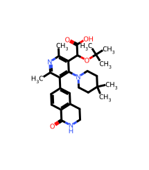 Cc1nc(C)c(C(OC(C)(C)C)C(=O)O)c(N2CCC(C)(C)CC2)c1-c1ccc2c(c1)CCNC2=O